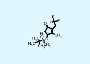 CC1=C(CC(F)(F)F)C(=O)CC1O[Si](C)(C)C(C)(C)C